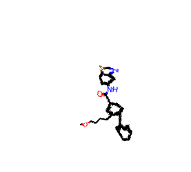 COCCCCc1cc(C(=O)Nc2ccc3scnc3c2)ccc1-c1ccccc1